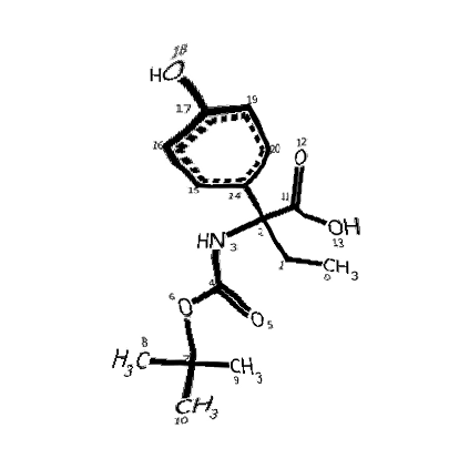 CCC(NC(=O)OC(C)(C)C)(C(=O)O)c1ccc(O)cc1